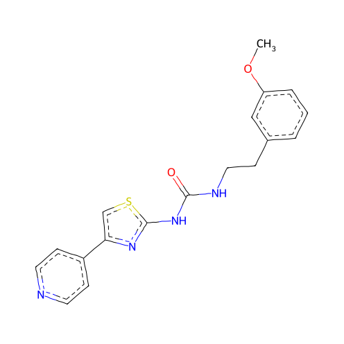 COc1cccc(CCNC(=O)Nc2nc(-c3ccncc3)cs2)c1